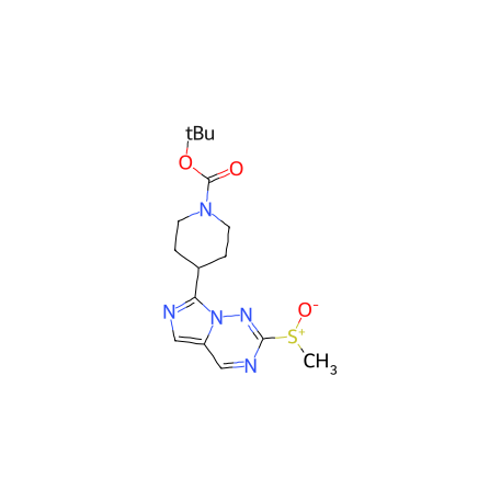 C[S+]([O-])c1ncc2cnc(C3CCN(C(=O)OC(C)(C)C)CC3)n2n1